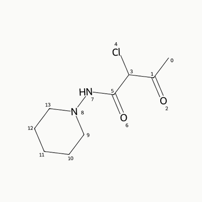 CC(=O)C(Cl)C(=O)NN1CCCCC1